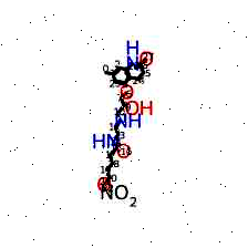 Cc1cc2c(c(OCC(O)CNCCNC(=O)CCCCO[N+](=O)[O-])c1)CCC(=O)N2